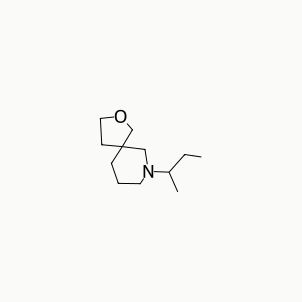 CCC(C)N1CCCC2(CCOC2)C1